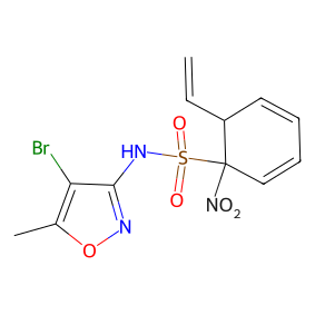 C=CC1C=CC=CC1([N+](=O)[O-])S(=O)(=O)Nc1noc(C)c1Br